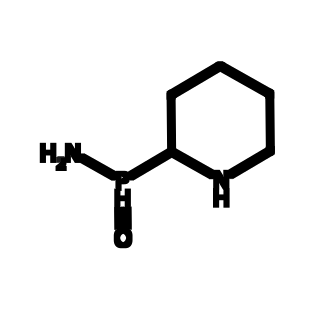 N[PH](=O)C1CCCCN1